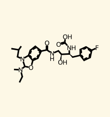 CCN(C)C1Oc2cc(C(=O)NC[C@H](O)[C@H](Cc3ccc(F)cc3)NC(=O)O)ccc2N1CC(C)C